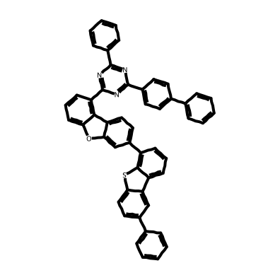 c1ccc(-c2ccc(-c3nc(-c4ccccc4)nc(-c4cccc5oc6cc(-c7cccc8c7sc7ccc(-c9ccccc9)cc78)ccc6c45)n3)cc2)cc1